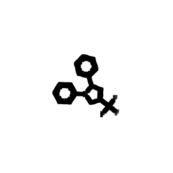 FC(F)(F)C1=CC(c2ccccc2)N(c2ccccc2)C1